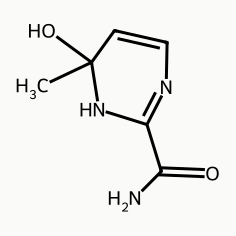 CC1(O)C=CN=C(C(N)=O)N1